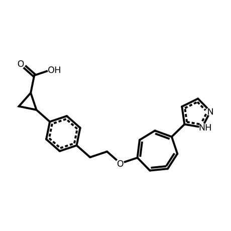 O=C(O)C1CC1c1ccc(CCOC2=CC=C(c3ccn[nH]3)C=C=C2)cc1